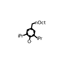 CCCCCCCCCc1cc(C(C)C)c([O])c(C(C)C)c1